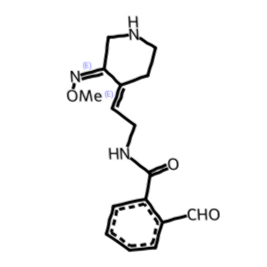 CO/N=C1/CNCC/C1=C\CNC(=O)c1ccccc1C=O